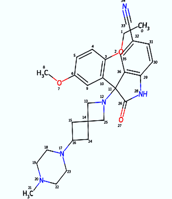 CCOc1ccc(OC)cc1C1(N2CC3(CC(N4CCN(C)CC4)C3)C2)C(=O)Nc2ccc(C#N)cc21